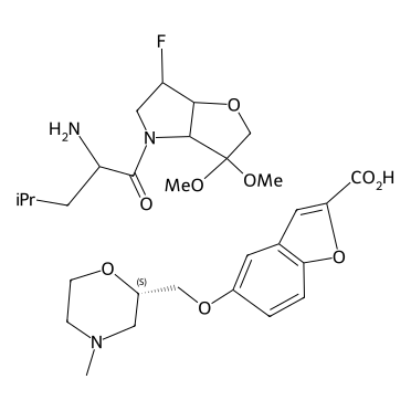 CN1CCO[C@H](COc2ccc3oc(C(=O)O)cc3c2)C1.COC1(OC)COC2C(F)CN(C(=O)C(N)CC(C)C)C21